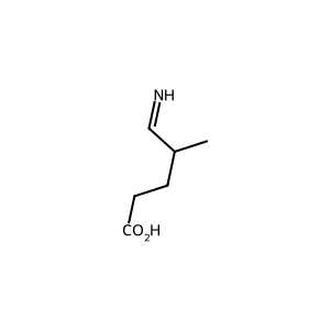 CC(C=N)CCC(=O)O